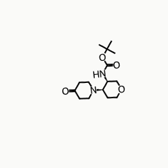 CC(C)(C)OC(=O)N[C@H]1COCC[C@H]1N1CCC(=O)CC1